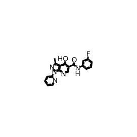 Cc1nn(-c2ccccn2)c2ncc(C(=O)Nc3cccc(F)c3)c(O)c12